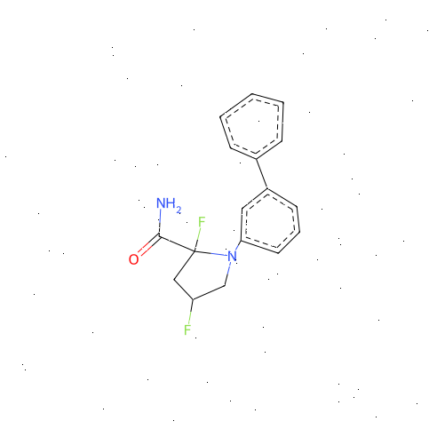 NC(=O)C1(F)CC(F)CN1c1cccc(-c2ccccc2)c1